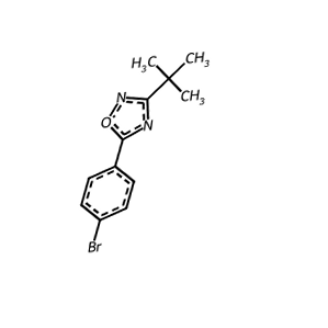 CC(C)(C)c1noc(-c2ccc(Br)cc2)n1